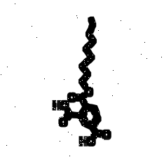 CCCCCCCCCOC(=O)c1ccc(C(=O)O)cc1C(=O)O